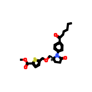 CCCCCC(=O)c1ccc(N2C(=O)CC[C@@H]2COCc2ccc(C(=O)OC)s2)cc1